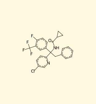 O=C(NC(Cc1ccccc1)(c1ccc(F)c(C(F)(F)F)c1)c1ccc(Cl)cn1)C1CC1